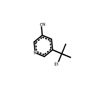 CCC(C)(C)c1cncc(C#N)c1